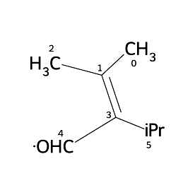 CC(C)=C([C]=O)C(C)C